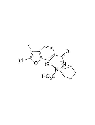 Cc1c(Cl)oc2cc(C(=O)N3CC4CCC3[C@@H]4N(C(=O)O)C(C)(C)C)ccc12